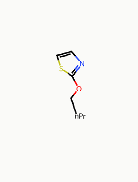 CCCCOc1nccs1